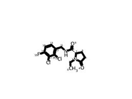 CCN1C(=O)CC[C@H]1C(=O)NCc1ccc(F)c(Cl)c1Cl